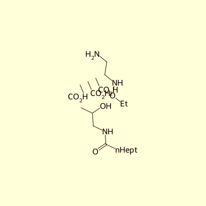 CC(=O)O.CC(=O)O.CC(=O)O.CCCCCCCC(=O)NCC(C)O.CCONCCN